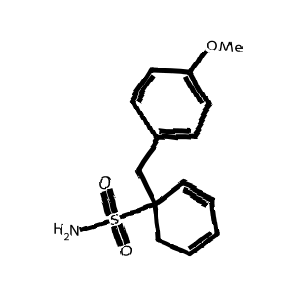 COc1ccc(CC2(S(N)(=O)=O)C=CC=CC2)cc1